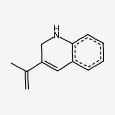 C=C(C)C1=Cc2ccccc2NC1